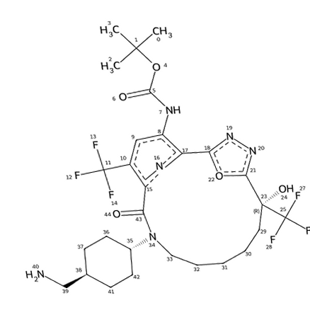 CC(C)(C)OC(=O)Nc1cc(C(F)(F)F)c2nc1-c1nnc(o1)[C@@](O)(C(F)(F)F)CCCCCN([C@H]1CC[C@H](CN)CC1)C2=O